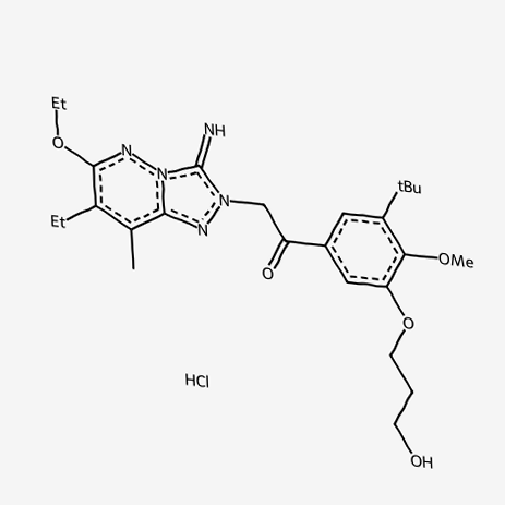 CCOc1nn2c(=N)n(CC(=O)c3cc(OCCCO)c(OC)c(C(C)(C)C)c3)nc2c(C)c1CC.Cl